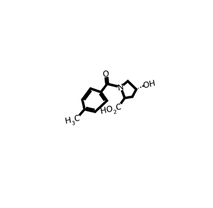 Cc1ccc(C(=O)N2C[C@H](O)CC2C(=O)O)cc1